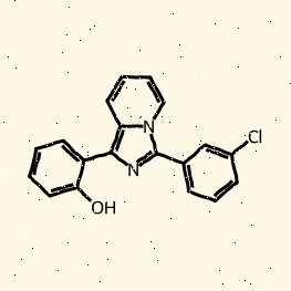 Oc1ccccc1-c1nc(-c2cccc(Cl)c2)n2ccccc12